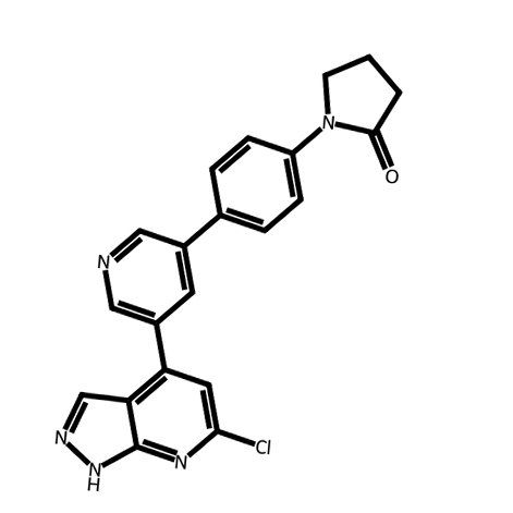 O=C1CCCN1c1ccc(-c2cncc(-c3cc(Cl)nc4[nH]ncc34)c2)cc1